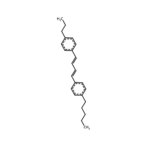 CCCCCc1ccc(C=CC=Cc2ccc(CCC)cc2)cc1